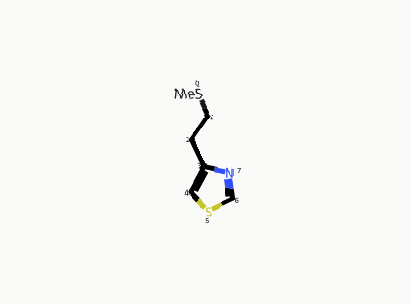 CSCCc1cscn1